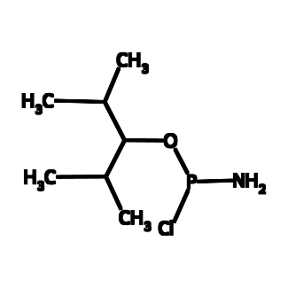 CC(C)C(OP(N)Cl)C(C)C